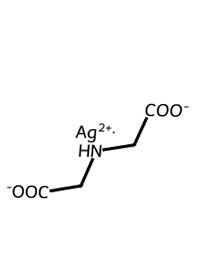 O=C([O-])CNCC(=O)[O-].[Ag+2]